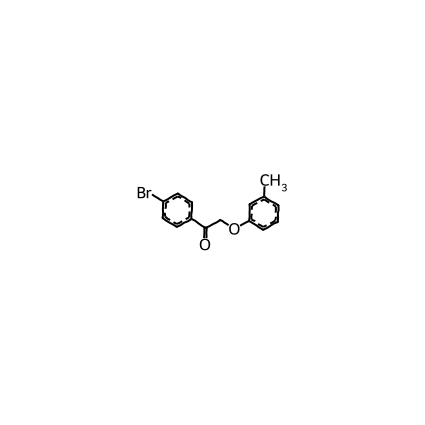 Cc1cccc(OCC(=O)c2ccc(Br)cc2)c1